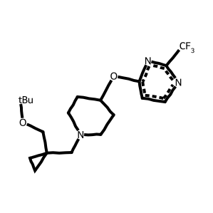 CC(C)(C)OCC1(CN2CCC(Oc3ccnc(C(F)(F)F)n3)CC2)CC1